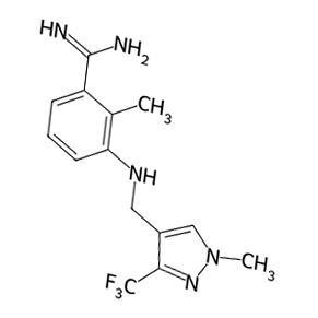 Cc1c(NCc2cn(C)nc2C(F)(F)F)cccc1C(=N)N